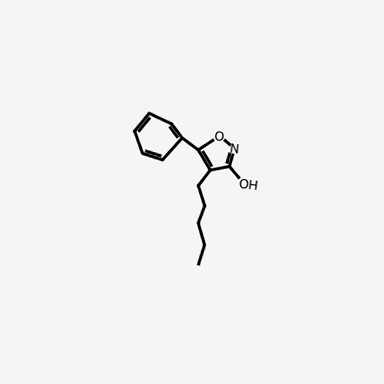 CCCCCc1c(O)noc1-c1ccccc1